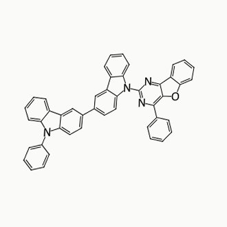 c1ccc(-c2nc(-n3c4ccccc4c4cc(-c5ccc6c(c5)c5ccccc5n6-c5ccccc5)ccc43)nc3c2oc2ccccc23)cc1